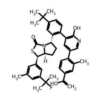 C=C(O)c1ccc(-c2cnc(O)c(-c3ccc(C(C)(C)C)cc3[C@@H]3CC[C@H]4[C@@H](c5cc(C)cc(C(C)(C)F)c5)SC(=O)N34)c2)c(C)c1